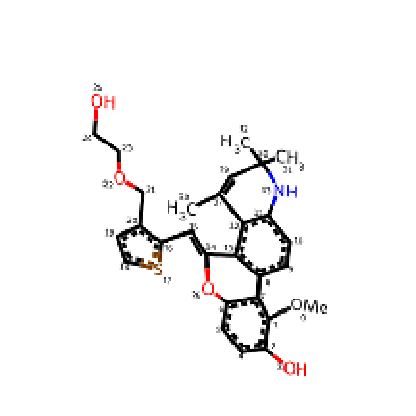 COc1c(O)ccc2c1-c1ccc3c(c1/C(=C/c1sccc1COCCO)O2)C(C)=CC(C)(C)N3